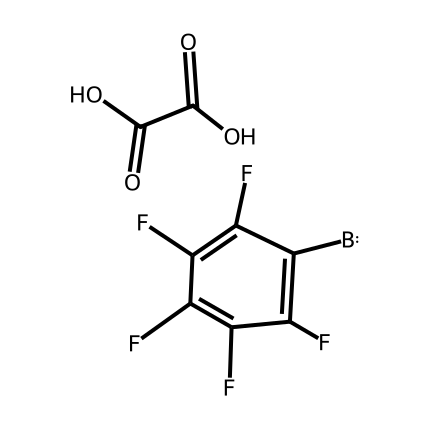 O=C(O)C(=O)O.[B]c1c(F)c(F)c(F)c(F)c1F